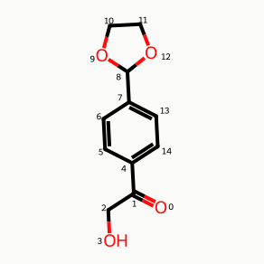 O=C(CO)c1ccc(C2OCCO2)cc1